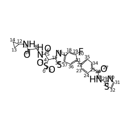 CS(=O)(=O)C(C(=O)NCC(=O)NC1CC1)c1nc2cc(F)c(-c3ccc(C(=O)Nc4nccs4)cc3)cc2s1